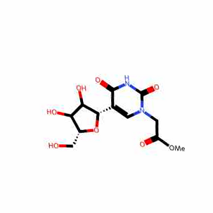 COC(=O)Cn1cc([C@@H]2O[C@H](CO)C(O)C2O)c(=O)[nH]c1=O